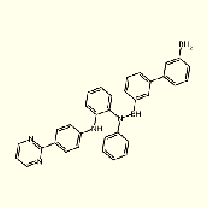 Bc1cccc(-c2cccc(BN(c3ccccc3)c3ccccc3Nc3ccc(-c4ncccn4)cc3)c2)c1